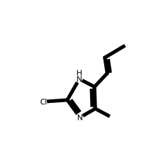 CC=Cc1[nH]c(Cl)nc1C